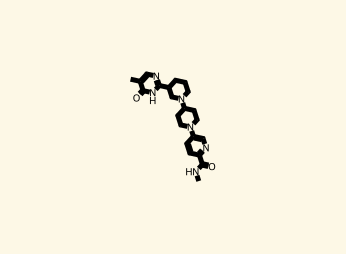 CNC(=O)c1ccc(N2CCC(N3CCCC(c4ncc(C)c(=O)[nH]4)C3)CC2)cn1